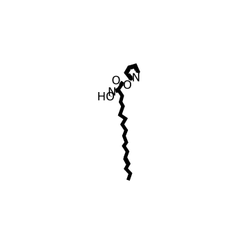 CCC/C=C/CCCCCCCCCCC/C(=N\O)C(=O)Oc1ccccn1